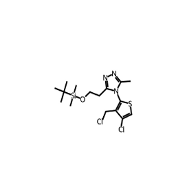 Cc1nnc(CCO[Si](C)(C)C(C)(C)C)n1-c1scc(Cl)c1CCl